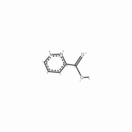 COC(=O)c1cc[c]nn1